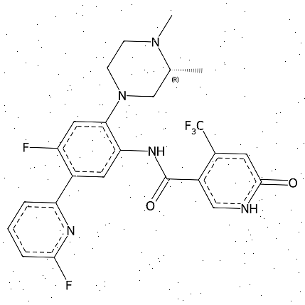 C[C@@H]1CN(c2cc(F)c(-c3cccc(F)n3)cc2NC(=O)c2c[nH]c(=O)cc2C(F)(F)F)CCN1C